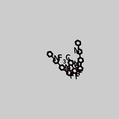 Fc1c(F)c(F)c(-c2c(-n3c4ccccc4c4ccc(-c5ccc(-c6ccccc6)nc5)cc43)cc(C(F)(F)F)cc2-n2c3ccccc3c3ccc(-c4ccc(-c5ccccc5)nc4)cc32)c(F)c1F